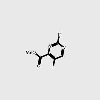 COC(=O)c1nc(Cl)ncc1I